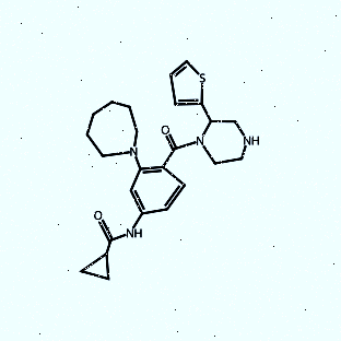 O=C(Nc1ccc(C(=O)N2CCNCC2c2cccs2)c(N2CCCCCC2)c1)C1CC1